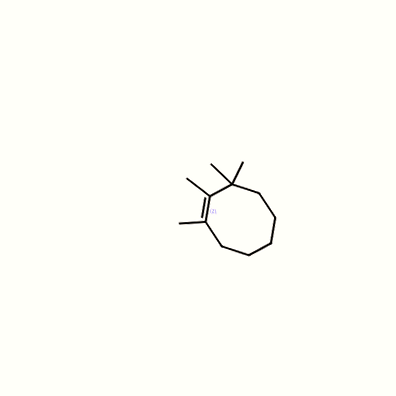 C/C1=C(\C)C(C)(C)CCCCC1